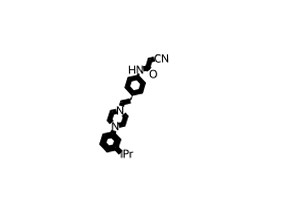 CC(C)c1cccc(N2CCN(CC[C@H]3CC[C@H](NC(=O)CC#N)CC3)CC2)c1